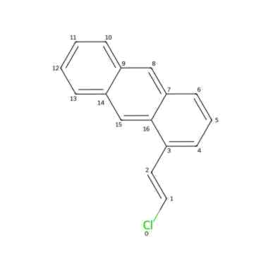 ClC=Cc1cccc2cc3ccccc3cc12